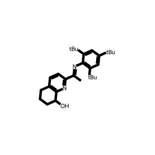 CC(=Nc1c(C(C)(C)C)cc(C(C)(C)C)cc1C(C)(C)C)c1ccc2c(n1)C(O)CCC2